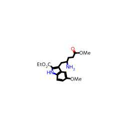 CCOC(=O)c1[nH]c2ccc(OC)cc2c1CC(N)CCC(=O)OC